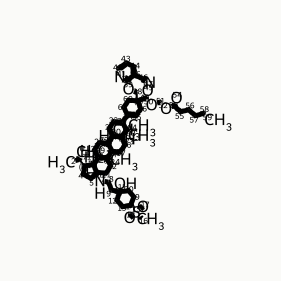 C=C(C)[C@@H]1CC[C@]2(NCCC3(O)CCC(S(C)(=O)=O)CC3)CC[C@]3(C)[C@H](CC[C@@H]4[C@@]5(C)CC=C(C6=CC[C@@](COc7ncccc7C#N)(C(=O)OCOC(=O)CCCCC)CC6)C(C)(C)[C@@H]5CC[C@]43C)[C@@H]12